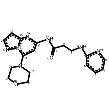 O=C(CCNc1ccccn1)Nc1cc(N2CCOCC2)n2nccc2n1